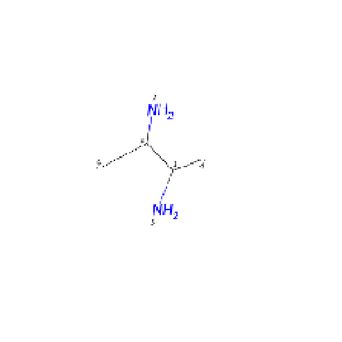 [CH2]C(N)C([CH2])N